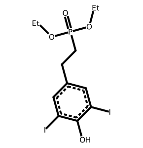 CCOP(=O)(CCc1cc(I)c(O)c(I)c1)OCC